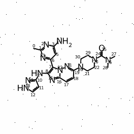 Cc1nc(N)cc(-c2c(Nc3cc[nH]n3)nc3ccc(N4CCN(C(=O)N(C)C)CC4)nn23)n1